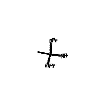 CCCC(C)([NH])CCC